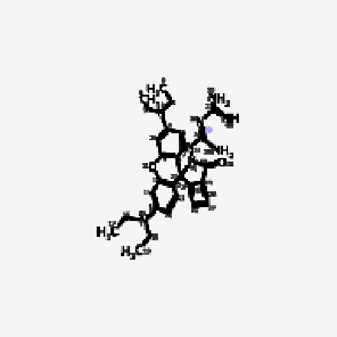 CCN(CC)c1ccc2c(c1)Oc1cc(N(CC)CC)ccc1C21c2ccccc2C(=O)N1N/C(N)=N/C(=N)N